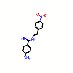 N=C(NC=Cc1ccc([N+](=O)[O-])cc1)c1ccc(N)cc1